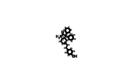 NC(=O)C(c1ccccc1)(c1ccccc1)C1CCCN(CCc2ccc(O)cc2)C1